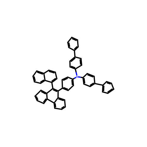 c1ccc(-c2ccc(N(c3ccc(-c4ccccc4)cc3)c3ccc(-c4c(-c5cccc6ccccc56)c5ccccc5c5ccccc45)cc3)cc2)cc1